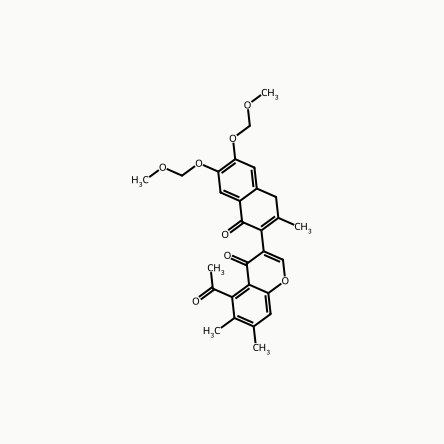 COCOc1cc2c(cc1OCOC)C(=O)C(c1coc3cc(C)c(C)c(C(C)=O)c3c1=O)=C(C)C2